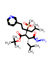 CC(C)C[C@@H](C(=O)NN)[C@@H](C(=O)OC(C)(C)C)C(CCc1cccnc1)(CC(C)C)S(C)(=O)=O